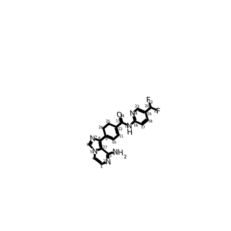 Nc1nccn2cnc(C3=CC=C(C(=O)Nc4ccc(C(F)F)cn4)CC3)c12